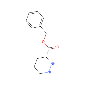 O=C(OCc1ccccc1)[C@H]1CCCNN1